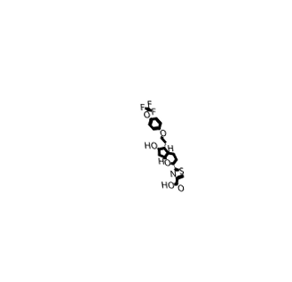 O=C(O)c1csc([C@H]2CC[C@@H]3[C@@H](CCOc4ccc(OC(F)(F)F)cc4)[C@H](O)C[C@@H]3O2)n1